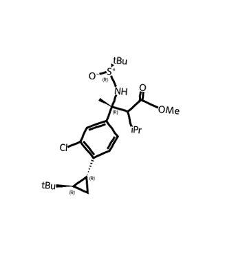 COC(=O)C(C(C)C)[C@@](C)(N[S@@+]([O-])C(C)(C)C)c1ccc([C@@H]2C[C@H]2C(C)(C)C)c(Cl)c1